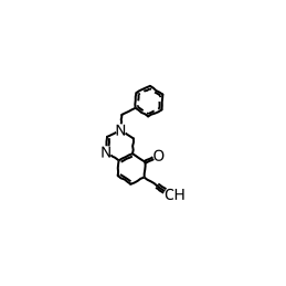 C#CC1C=CC2=C(CN(Cc3ccccc3)C=N2)C1=O